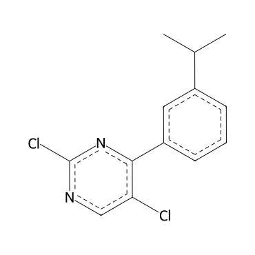 CC(C)c1cccc(-c2nc(Cl)ncc2Cl)c1